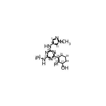 CC(C)Nc1nc(Nc2cnn(C)c2)nc(C2=C(F)C(O)CCC2)n1